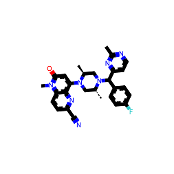 Cc1nccc(C(c2ccc(F)cc2)N2C[C@H](C)N(c3cc(=O)n(C)c4ccc(C#N)nc34)C[C@H]2C)n1